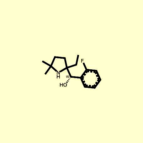 CCC1([C@@H](O)c2ccccc2F)CCC(C)(C)N1